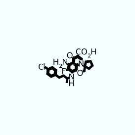 CC(CCc1ccc(Cl)cc1)Nc1c(F)c(N)c2c(=O)c(C(=O)O)cn3c2c1OCC31CCCC1